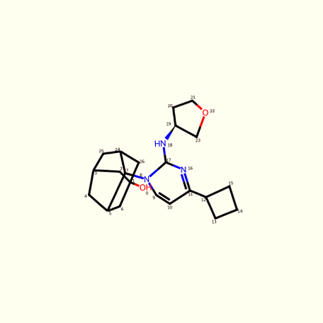 OC12CC3CC(C1)C(N1C=CC(C4CCC4)=NC1N[C@H]1CCOC1)C(C3)C2